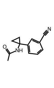 CC(=O)NC1(c2cccc(C#N)c2)CC1